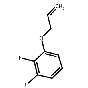 C=CCOc1c[c]cc(F)c1F